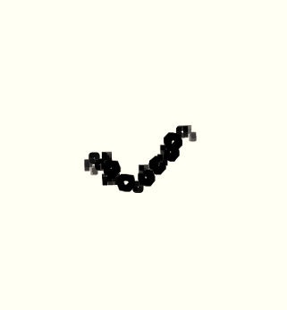 O=[N+]([O-])c1ccc(N[C@H]2CC[C@H](Oc3ccc(N4CCN(c5ccc6cc(C(F)(F)F)ccc6n5)CC4)nc3)CC2)cc1C(F)(F)F